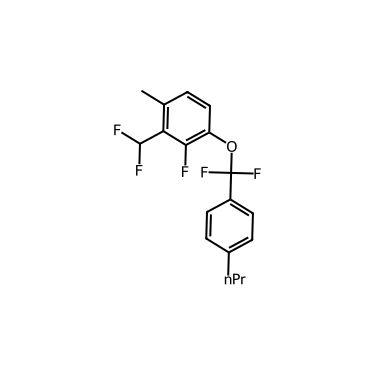 CCCc1ccc(C(F)(F)Oc2ccc(C)c(C(F)F)c2F)cc1